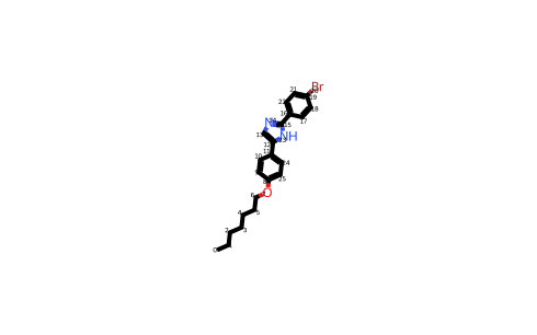 CCCCCCCOc1ccc(-c2cnc(-c3ccc(Br)cc3)[nH]2)cc1